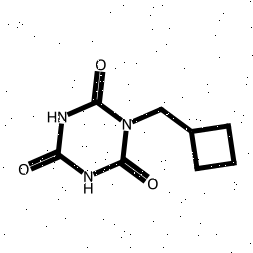 O=c1[nH]c(=O)n(CC2CCC2)c(=O)[nH]1